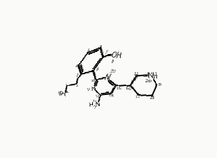 CC(C)CCc1cccc(O)c1-c1nc(N)cc(C2CCCNC2)n1